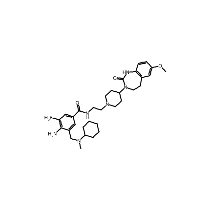 Bc1cc(C(=O)NCCN2CCC(N3CCc4cc(OC)ccc4NC3=O)CC2)cc(CN(C)C2CCCCC2)c1N